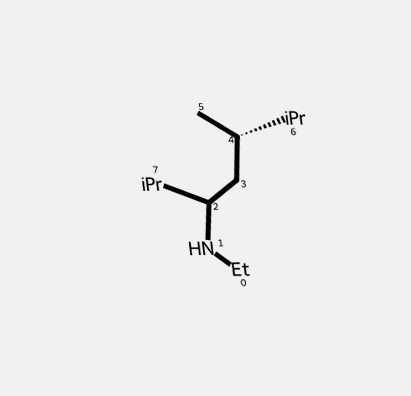 CCNC(C[C@H](C)C(C)C)C(C)C